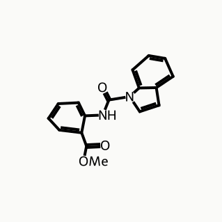 COC(=O)c1ccccc1NC(=O)n1ccc2ccccc21